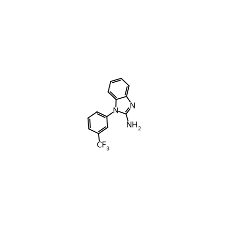 Nc1nc2ccccc2n1-c1cccc(C(F)(F)F)c1